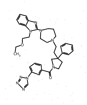 CCOCCn1c(N2CCCN(CCC3(c4ccccc4)CCN(C(=O)c4cccc(-n5cnnn5)c4)C3)CC2)nc2ccccc21